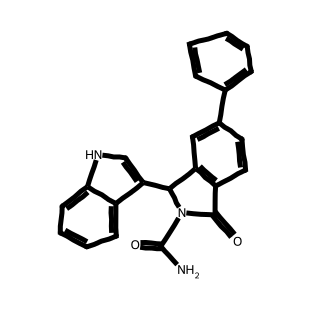 NC(=O)N1C(=O)c2ccc(-c3ccccc3)cc2C1c1c[nH]c2ccccc12